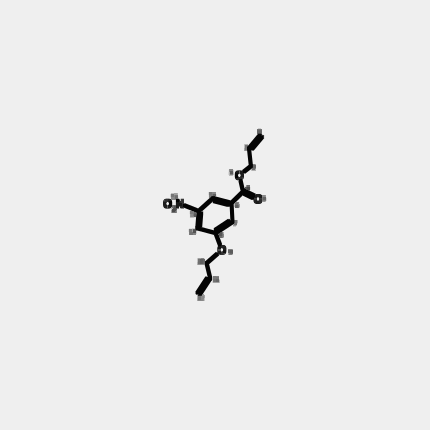 C=CCOC(=O)c1cc(OCC=C)cc([N+](=O)[O-])c1